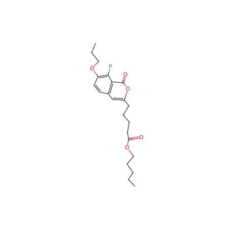 CCCCCOC(=O)CCCCc1cc2ccc(OCCC)c(F)c2c(=O)o1